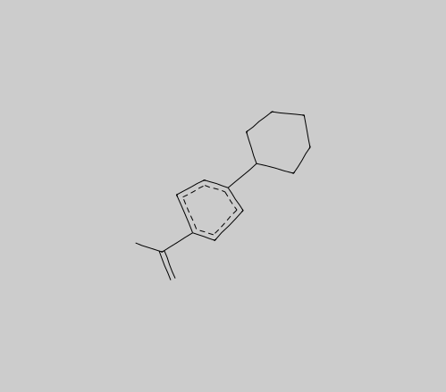 C=C(C)c1ccc(C2CCCCC2)cc1